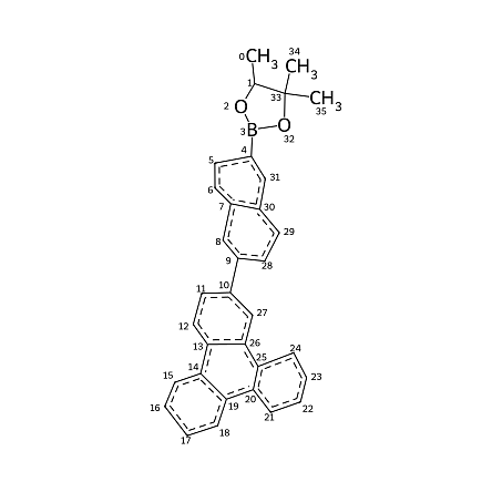 CC1OB(c2ccc3cc(-c4ccc5c6ccccc6c6ccccc6c5c4)ccc3c2)OC1(C)C